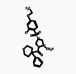 O=C(O)[C@@H]1C[C@@H](S(=O)(=O)c2ccc(OCC(F)(F)F)cc2Cl)CN1C(=O)C1(c2ccccc2)CCOCC1